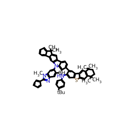 Cn1c(-c2ccccc2)nc2cc3c(cc21)-n1c2cc4c(cc2c2ccc(-c5cc6c(cc5Nc5ccc(C(C)(C)C)cc5)sc5cc7c(cc56)C(C)(C)CCC7(C)C)c(c21)B3)C(C)(C)c1ccccc1-4